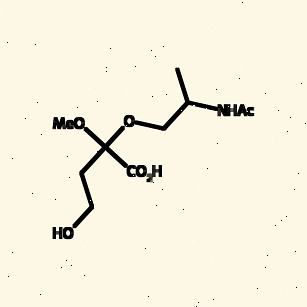 COC(CCO)(OCC(C)NC(C)=O)C(=O)O